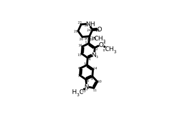 COc1nc(-c2ccc3c(ccn3C)c2)ccc1[C@@]1(C)CCCNC1=O